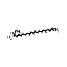 C=C(CCCCCCCCCCCCCCCCCCC)NC